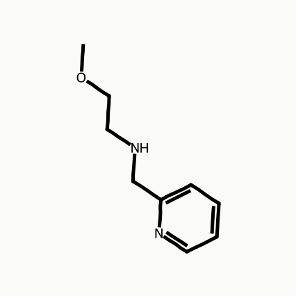 COCCNCc1ccccn1